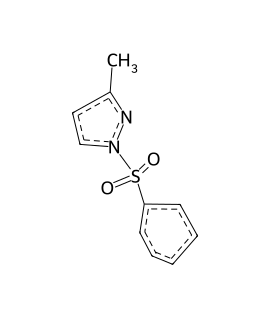 Cc1ccn(S(=O)(=O)c2ccccc2)n1